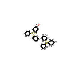 COc1ccc([S+](c2ccccc2)c2ccccc2)cc1.c1ccc([S+](c2ccccc2)c2ccccc2)cc1